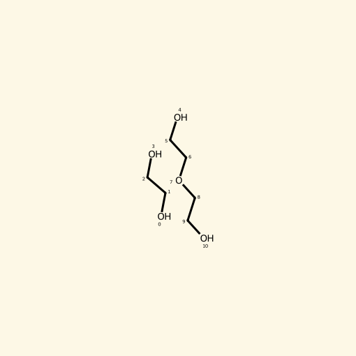 OCCO.OCCOCCO